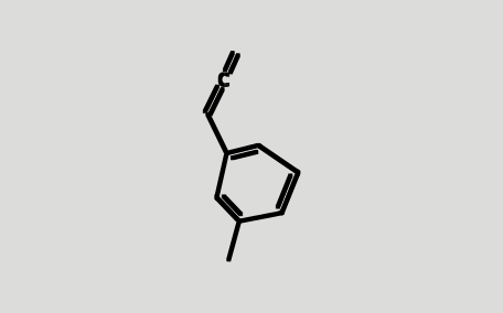 C=C=Cc1cccc(C)c1